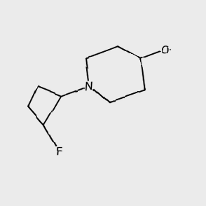 [O]C1CCN(C2CCC2F)CC1